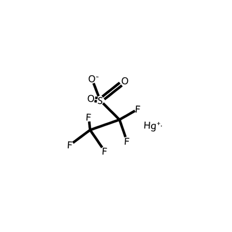 O=S(=O)([O-])C(F)(F)C(F)(F)F.[Hg+]